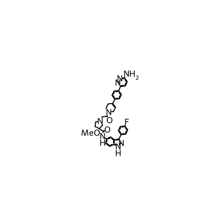 CO[C@@]1(C(=O)Nc2ccc3[nH]nc(-c4ccc(F)cc4)c3c2)CCN(CC(=O)N2CC=C(c3ccc(-c4ccc(N)nn4)cc3)CC2)C1